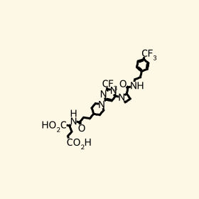 O=C(O)CCC(NC(=O)CCC1CCN(c2cc(N3CCC3C(=O)NCCc3ccc(C(F)(F)F)cc3)nc(C(F)(F)F)n2)CC1)C(=O)O